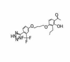 CCCc1c(OCCCCOc2ccc(-c3nn[nH]n3)c(C(F)(F)F)c2)ccc(C(C)=O)c1O